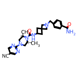 C[C@@H]1CN(c2ncc(C#N)cn2)C[C@H](C)N1C(=O)NC1CC2(C1)CN(Cc1ccc(C(N)=O)cc1)C2